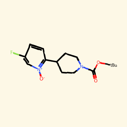 CC(C)(C)OC(=O)N1CCC(c2ccc(F)c[n+]2[O-])CC1